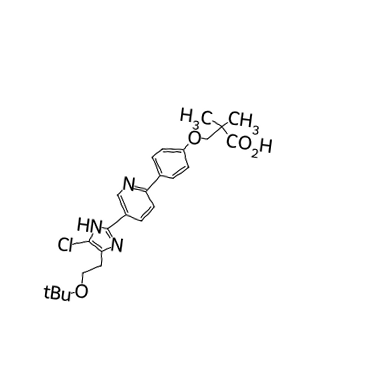 CC(C)(C)OCCc1nc(-c2ccc(-c3ccc(OCC(C)(C)C(=O)O)cc3)nc2)[nH]c1Cl